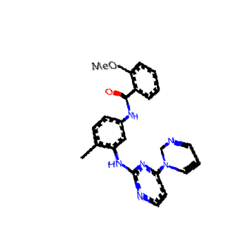 COc1ccccc1C(=O)Nc1ccc(C)c(Nc2nccc(N3C=CC=NC3)n2)c1